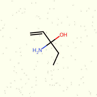 C=CC(N)(O)CC